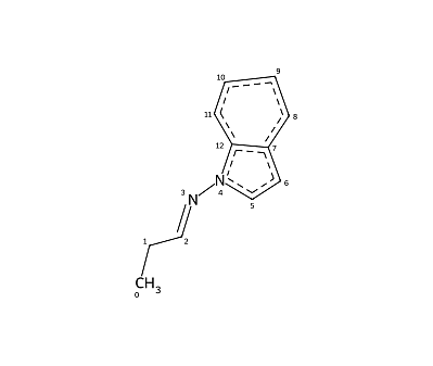 CC/C=N/n1ccc2ccccc21